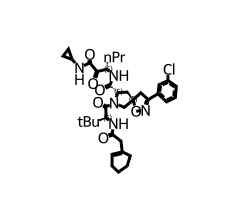 CCC[C@H](NC(=O)[C@@H]1C[C@]2(CC(c3cccc(Cl)c3)=NO2)CN1C(=O)[C@@H](NC(=O)CC1=CCCCC1)C(C)(C)C)C(=O)C(=O)NC1CC1